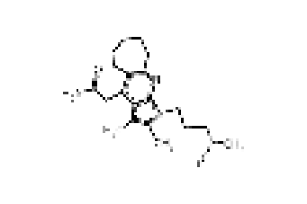 Cc1c(C)n(CCCN(C)C)c2nc3c(c(CC(N)=O)c12)CCCCC3